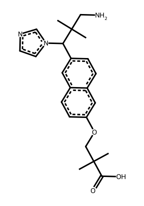 CC(C)(COc1ccc2cc(C(n3ccnc3)C(C)(C)CN)ccc2c1)C(=O)O